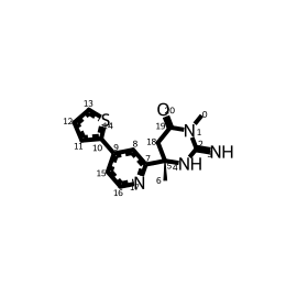 CN1C(=N)N[C@](C)(c2cc(-c3cccs3)ccn2)CC1=O